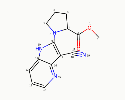 COC(=O)C1CCCN1c1[nH]c2cccnc2c1C#N